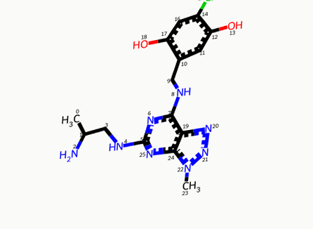 CC(N)CNc1nc(NCc2cc(O)c(Cl)cc2O)c2nnn(C)c2n1